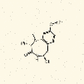 CCCOc1ccc2c(c1)N(C)[C@@H](C(C)C)C(=O)N[C@H](CC)C2